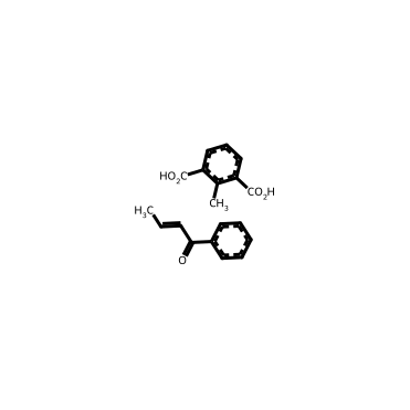 C/C=C/C(=O)c1ccccc1.Cc1c(C(=O)O)cccc1C(=O)O